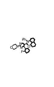 CC(C)N(C(=O)c1cnc(N2CCOCC2)nc1-c1ccccc1F)c1cccc2ccccc12